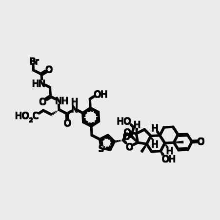 C[C@]12C=CC(=O)C=C1CC[C@@H]1[C@@H]2[C@@H](O)C[C@@]2(C)[C@H]1C[C@H]1O[C@@H](c3csc(Cc4ccc(CO)c(NC(=O)[C@H](CCC(=O)O)NC(=O)CNC(=O)CBr)c4)c3)O[C@]12C(=O)CO